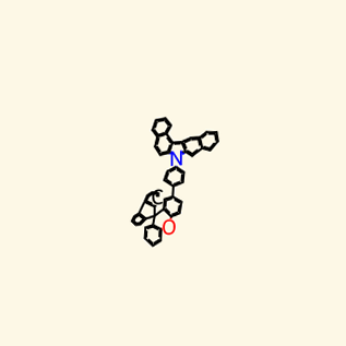 c1ccc2c(c1)Oc1ccc(-c3ccc(-n4c5cc6ccccc6cc5c5c6ccccc6ccc54)cc3)cc1C21c2ccccc2-c2ccccc21